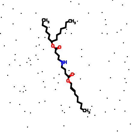 CCCCCCC=CCOC(=O)CCCNCCCC(=O)OC(CCCCCC)CCCCCCC